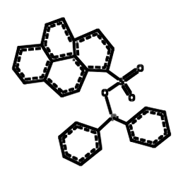 O=S(=O)(O[I+](c1ccccc1)c1ccccc1)c1ccc2ccc3cccc4ccc1c2c34